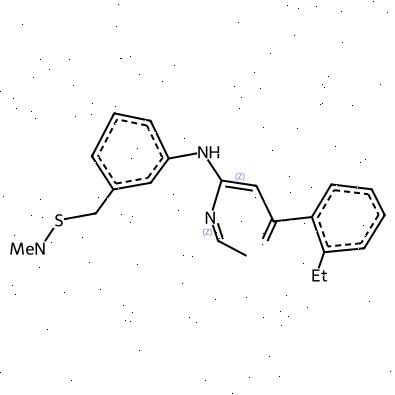 C=C(/C=C(\N=C/C)Nc1cccc(CSNC)c1)c1ccccc1CC